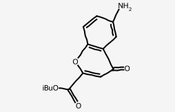 CC(C)COC(=O)c1cc(=O)c2cc(N)ccc2o1